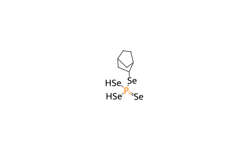 [Se]=P([SeH])([SeH])[Se]C1CC2CCC1C2